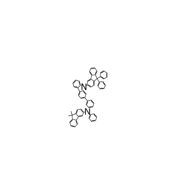 CC1(C)c2ccccc2-c2cc(N(c3ccccc3)c3cccc(-c4ccc5c6ccccc6n(-c6ccc7c(c6)-c6ccccc6C7(c6ccccc6)c6ccccc6)c5c4)c3)ccc21